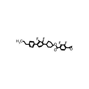 CCCc1ccc(-c2ccc(C3CCC(OC(=O)c4ccc(C5CO5)c(F)c4F)CC3)c(F)c2F)cc1